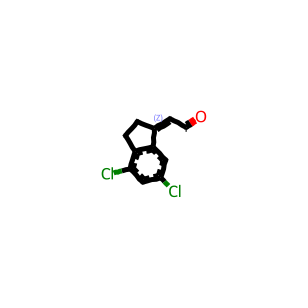 O=[C]/C=C1/CCc2c(Cl)cc(Cl)cc21